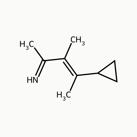 CC(=N)/C(C)=C(\C)C1CC1